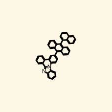 c1ccc2c(-c3c4ccccc4c(-c4ccc5c(c4)c4ccccc4c4nc6ccccc6n54)c4ccccc34)cccc2c1